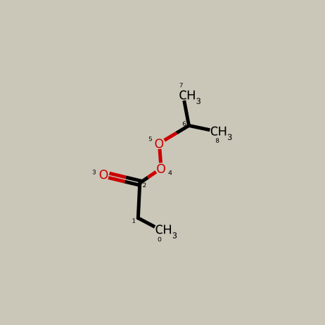 CCC(=O)OOC(C)C